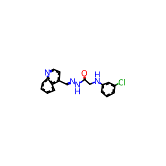 O=C(CNc1cccc(Cl)c1)N/N=C/c1ccnc2ccccc12